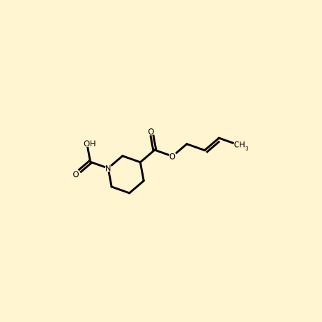 C/C=C/COC(=O)C1CCCN(C(=O)O)C1